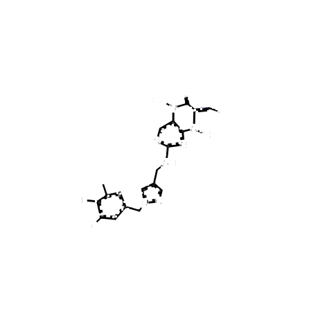 C/C=C1/C(=O)N(C)c2cnc(NCc3cnn(Cc4cc(F)c(F)c(F)c4)c3)nc2N1C